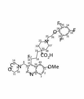 COc1ccc2ncc(CN3CCOCC3)c([C@H](F)CCC3(C(=O)O)CCN(CCOc4c(F)cc(F)cc4F)CC3)c2c1